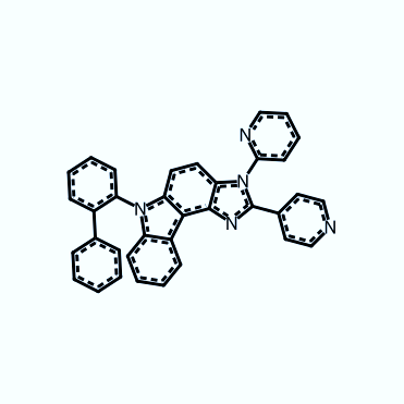 c1ccc(-c2ccccc2-n2c3ccccc3c3c4nc(-c5ccncc5)n(-c5ccccn5)c4ccc32)cc1